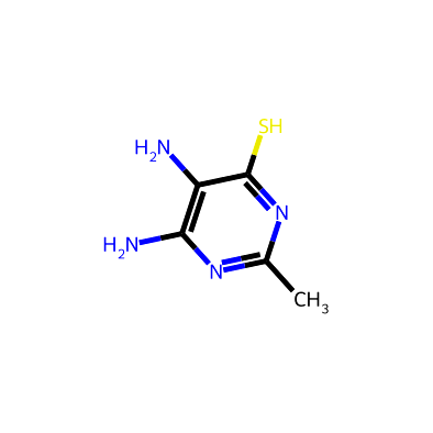 Cc1nc(N)c(N)c(S)n1